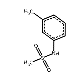 Cc1cccc(NS(C)(=O)=O)c1